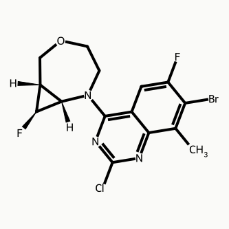 Cc1c(Br)c(F)cc2c(N3CCOC[C@H]4[C@H](F)[C@H]43)nc(Cl)nc12